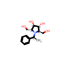 C[C@@H](c1ccccc1)N1[C@H](CO)[C@@H](O)[C@H](O)[C@H]1CO